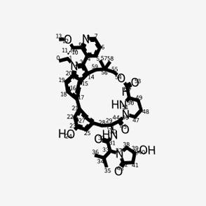 CCn1c(-c2cccnc2[C@H](C)OC)c2c3cc(ccc31)-c1cc(O)cc(c1)C[C@H](NC(=O)C(C(C)C)N1C[C@H](O)CC1=O)C(=O)N1CCC[C@H](N1)C(=O)OCC(C)(C)C2